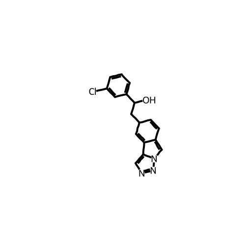 OC(CC1C=Cc2cn3nncc3c2=C1)c1cccc(Cl)c1